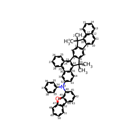 CC1(C)c2cc3c(cc2-c2ccc4ccccc4c21)C(C)(C)c1c-3c2ccccc2c2cc(N(c3ccccc3)c3cccc4c3oc3ccccc34)ccc12